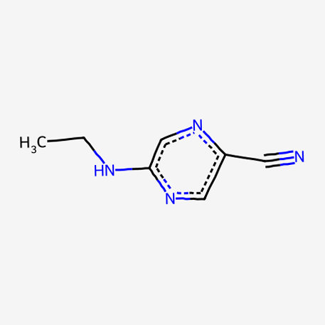 CCNc1cnc(C#N)cn1